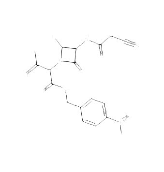 C=C(C)C(C(=O)OCc1ccc([N+](=O)[O-])cc1)N1C(=O)C(NC(=O)CC#N)C1F